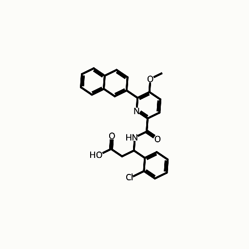 COc1ccc(C(=O)NC(CC(=O)O)c2ccccc2Cl)nc1-c1ccc2ccccc2c1